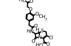 COc1cc(CC(=O)NC2C(=O)N3C(C(=O)O)=C(Cl)CS[C@@H]23)ccc1OCC(=O)O